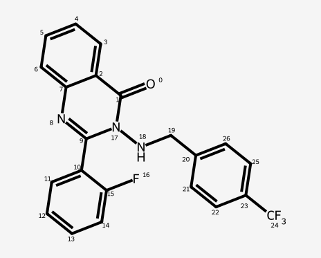 O=c1c2ccccc2nc(-c2ccccc2F)n1NCc1ccc(C(F)(F)F)cc1